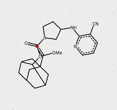 COC(=O)C12CC3CC(C1)C(OC(=O)N1CCC(Nc4ncccc4C#N)C1)C(C3)C2